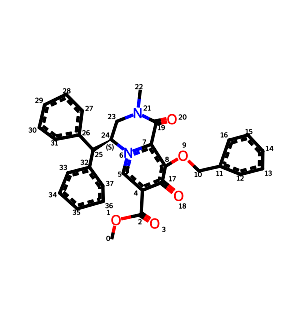 COC(=O)c1cn2c(c(OCc3ccccc3)c1=O)C(=O)N(C)C[C@@H]2C(c1ccccc1)c1ccccc1